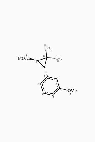 CCOC(=O)[C@@H]1[C@@H](c2cccc(OC)c2)C1(C)C